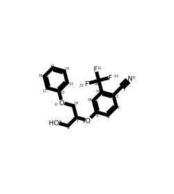 N#Cc1ccc(OC(CO)COc2ccccc2)cc1C(F)(F)F